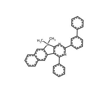 C[Si]1(C)c2cc3ccccc3cc2-c2c(-c3ccccc3)nc(-c3cccc(-c4ccccc4)c3)nc21